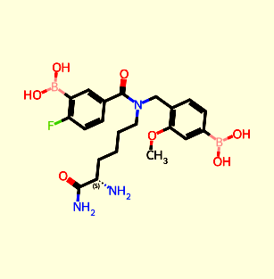 COc1cc(B(O)O)ccc1CN(CCCC[C@H](N)C(N)=O)C(=O)c1ccc(F)c(B(O)O)c1